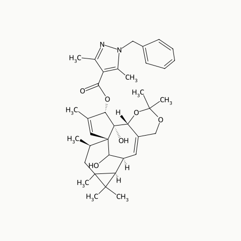 CC1=C[C@]23C(O)[C@@H](C=C4COC(C)(C)O[C@H]4[C@]2(O)[C@H]1OC(=O)c1c(C)nn(Cc2ccccc2)c1C)[C@H]1C(C)(C)C1(C)C[C@H]3C